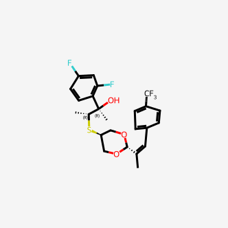 CC(=Cc1ccc(C(F)(F)F)cc1)[C@H]1OC[C@H](S[C@H](C)[C@](C)(O)c2ccc(F)cc2F)CO1